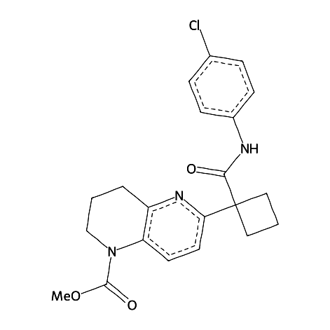 COC(=O)N1CCCc2nc(C3(C(=O)Nc4ccc(Cl)cc4)CCC3)ccc21